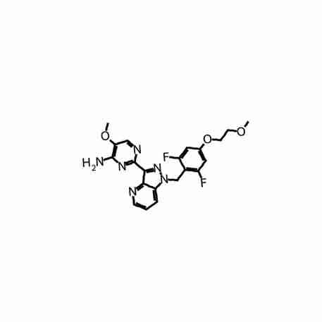 COCCOc1cc(F)c(Cn2nc(-c3ncc(OC)c(N)n3)c3ncccc32)c(F)c1